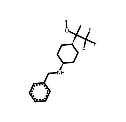 COC(C)([C@H]1CC[C@@H](NCc2ccccc2)CC1)C(F)(F)F